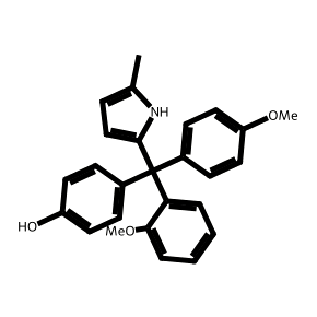 COc1ccc(C(c2ccc(O)cc2)(c2ccc(C)[nH]2)c2ccccc2OC)cc1